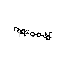 CCOc1ccc(OCC2C=CC(c3ccc(CCc4ccc(C)c(F)c4F)cc3)CC2)c(F)c1F